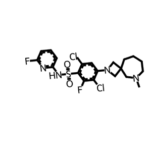 CN1CCCCC2(C1)CN(c1cc(Cl)c(S(=O)(=O)Nc3cccc(F)n3)c(F)c1Cl)C2